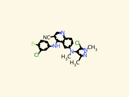 Cc1nn(C)c(Cl)c1N(C)c1ccc2ncc(C#N)c(Nc3ccc(F)c(Cl)c3)c2c1